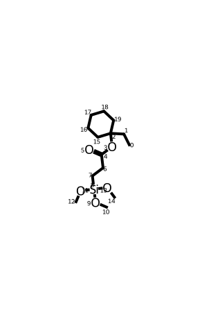 CCC1(OC(=O)CC[Si](OC)(OC)OC)CCCCC1